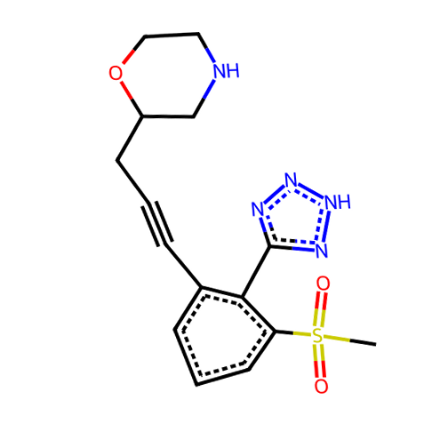 CS(=O)(=O)c1cccc(C#CCC2CNCCO2)c1-c1nn[nH]n1